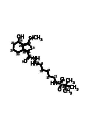 CSc1sc(C(=O)NNCCCCCNS(=O)(=O)C(C)(C)C)c2c1C(O)CCC2